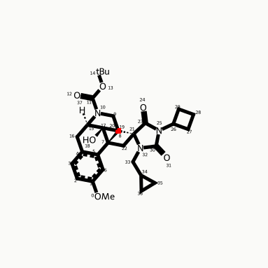 COc1ccc2c(c1)[C@]13CCN(C(=O)OC(C)(C)C)[C@H](C2)[C@]1(O)CC[C@]1(C3)C(=O)N(C2CCC2)C(=O)N1CC1CC1